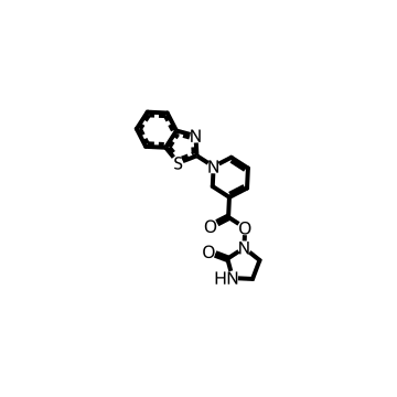 O=C(ON1CCNC1=O)C1=CC=CN(c2nc3ccccc3s2)C1